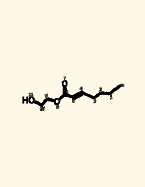 CCCCC=CC(=O)OCCO